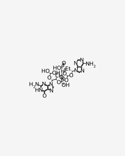 CC[C@@H](OC(OC[PH](=O)O)OP(=O)(O)OC(C)[C@@H](OC(O)O)n1cnc2c(=O)[nH]c(N)nc21)n1cnc2c(N)ncnc21